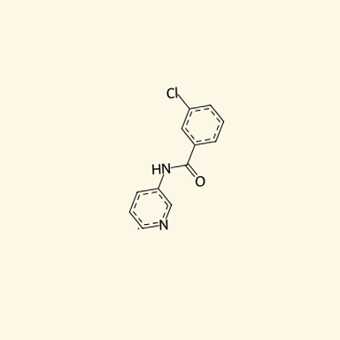 O=C(Nc1cc[c]nc1)c1cccc(Cl)c1